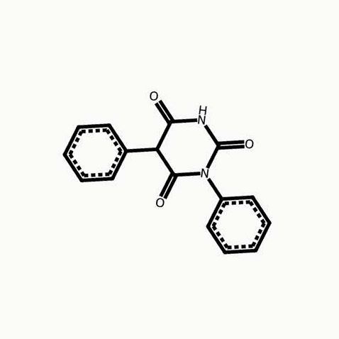 O=C1NC(=O)N(c2ccccc2)C(=O)C1c1ccccc1